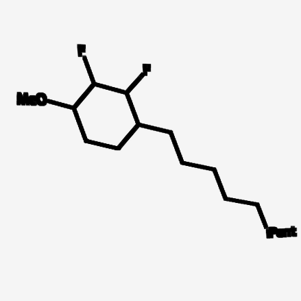 CCCC(C)CCCCCC1CCC(OC)C(F)C1F